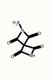 BN1C(=O)C2(C(=O)NC2=O)C1=O